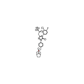 CC(C)(C)NC(=O)Cc1nn(-c2ccc(CCN3C4CCC3CC(=O)C4)cc2)c(=O)n1-c1ccc(F)c(Cl)c1